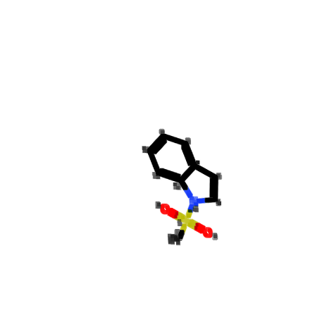 CC(C)S(=O)(=O)n1ccc2ccccc21